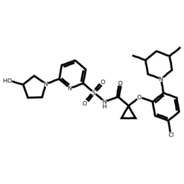 CC1CC(C)CN(c2ccc(Cl)cc2OC2(C(=O)NS(=O)(=O)c3cccc(N4CCC(O)C4)n3)CC2)C1